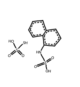 O=S(=O)(O)Nc1cccc2ccccc12.O=S(=O)(O)S